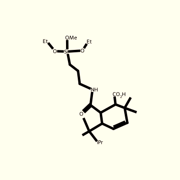 CCO[Si](CCCNC(=O)C1C(C(=O)O)C(C)(C)C=CC1C(C)(C)C(C)C)(OC)OCC